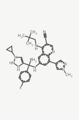 BC(Nc1cc(-c2cnn(C)c2)c2ncc(C#N)c(NCC(C)(C)C)c2c1)(C1=CN(C2CC2)NN1)c1ccc(F)cc1